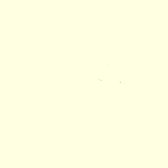 CC(C)(C)c1ccc(N(O)C=N)cc1